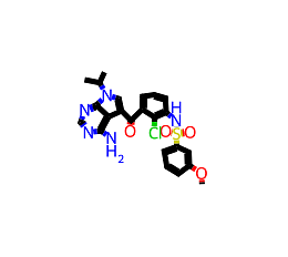 COc1cccc(S(=O)(=O)Nc2cccc(C(=O)c3cn(C(C)C)c4ncnc(N)c34)c2Cl)c1